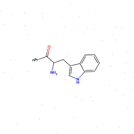 CCCC(=O)C(N)Cc1c[nH]c2ccccc12